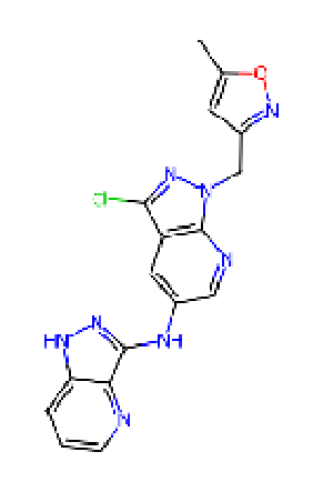 Cc1cc(Cn2nc(Cl)c3cc(Nc4n[nH]c5cccnc45)cnc32)no1